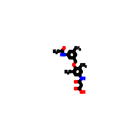 CC(=O)Nc1cc(C)cc(COc2c(C)cc(NC(=O)CC(=O)O)cc2C)c1